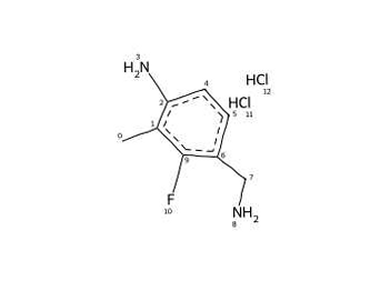 Cc1c(N)ccc(CN)c1F.Cl.Cl